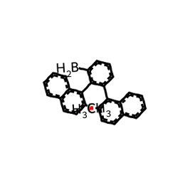 Bc1cccc(-c2c(C)ccc3ccccc23)c1-c1c(C)ccc2ccccc12